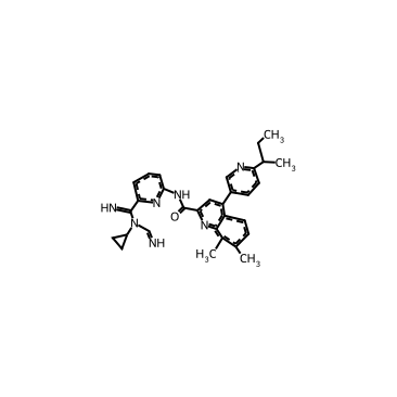 CCC(C)c1ccc(-c2cc(C(=O)Nc3cccc(C(=N)N(C=N)C4CC4)n3)nc3c(C)c(C)ccc23)cn1